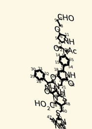 CC(=O)N(C(=O)[C@@H]1CC(OCCC=O)CN1)c1ccc(-c2ccc(CN(C(=O)C(N)c3ccccc3)C3C(=O)N4C(C(=O)O)=C(CSc5nnnn5C)CS[C@@H]34)c(=O)[nH]2)cc1